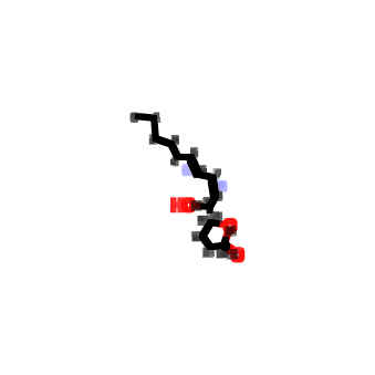 CCCCC/C=C/C=C\C(O)[C@H]1CCC(=O)O1